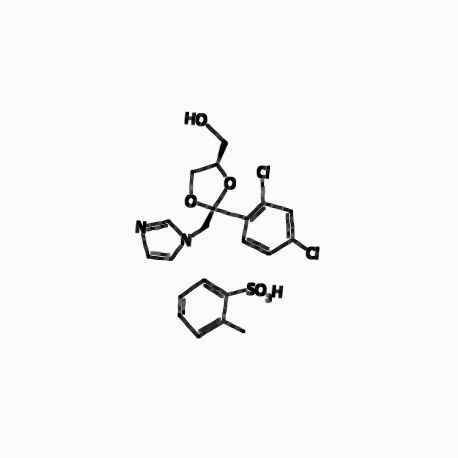 Cc1ccccc1S(=O)(=O)O.OC[C@@H]1CO[C@@](Cn2ccnc2)(c2ccc(Cl)cc2Cl)O1